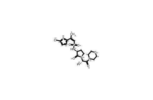 C/C(=C/S(=O)(=O)N[C@H]1CCN([C@H](C(=O)N2CCOCC2)C(C)C)C1=O)c1ccc(Cl)s1